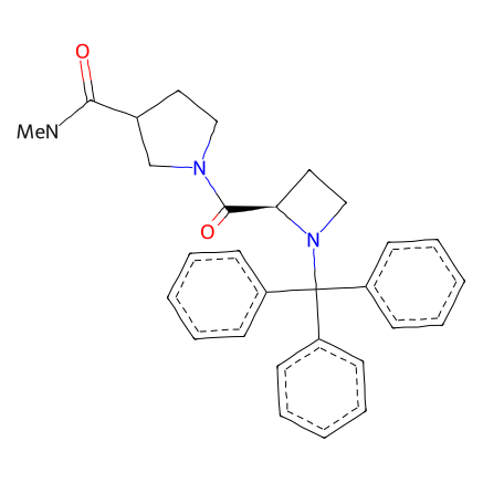 CNC(=O)C1CCN(C(=O)[C@H]2CCN2C(c2ccccc2)(c2ccccc2)c2ccccc2)C1